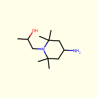 CC(O)CN1C(C)(C)CC(N)CC1(C)C